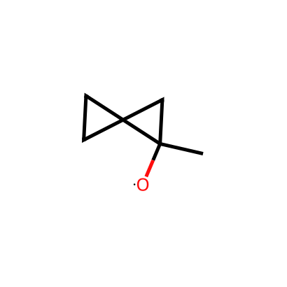 CC1([O])CC12CC2